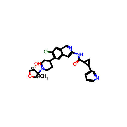 C[C@@]1(N2CCC(c3cc4cc(NC(=O)C5CC5c5cccnc5)ncc4cc3Cl)CC2)COC[C@@H]1O